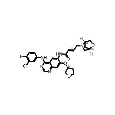 O=C(/C=C/CN1C[C@H]2C[C@@H]1CO2)Nc1cc2c(Nc3ccc(F)c(Cl)c3)ncnc2cc1O[C@H]1CCOC1